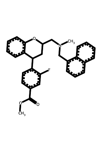 COC(=O)c1ccc(C2CC(CN(C)Cc3cccc4ccccc34)Oc3ccccc32)c(F)c1